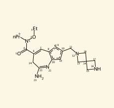 CCCN(OCC)C(=O)C1=Cc2sc(CN3CC4(CNC4)C3)cc2N=C(N)C1